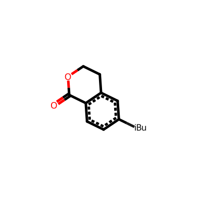 CCC(C)c1ccc2c(c1)CCOC2=O